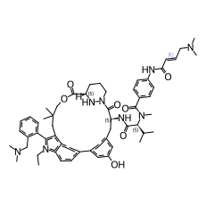 CCn1c(-c2ccccc2CN(C)C)c2c3cc(ccc31)-c1cc(O)cc(c1)C[C@H](NC(=O)[C@H](C(C)C)N(C)C(=O)c1ccc(NC(=O)/C=C/CN(C)C)cc1)C(=O)N1CCC[C@H](N1)C(=O)OCC(C)(C)C2